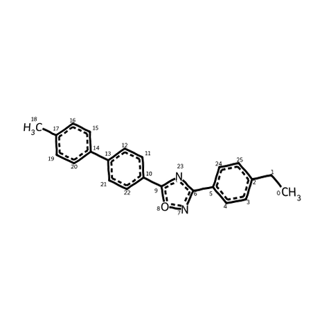 CCc1ccc(-c2noc(-c3ccc(-c4ccc(C)cc4)cc3)n2)cc1